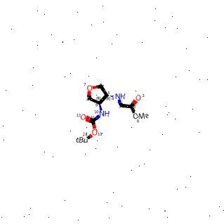 COC(=O)CN[C@H]1COC[C@@H]1NC(=O)OC(C)(C)C